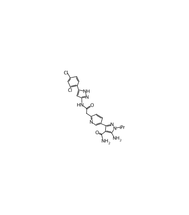 CC(C)n1nc(-c2ccc(CC(=O)Nc3cc(-c4ccc(Cl)cc4Cl)[nH]n3)nc2)c(C(N)=O)c1N